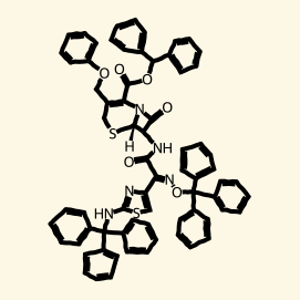 O=C(NC1C(=O)N2C(C(=O)OC(c3ccccc3)c3ccccc3)=C(COc3ccccc3)CS[C@@H]12)C(=NOC(c1ccccc1)(c1ccccc1)c1ccccc1)c1csc(NC(c2ccccc2)(c2ccccc2)c2ccccc2)n1